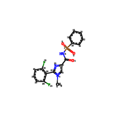 Cn1cc(C(=O)NS(=O)(=O)c2ccccc2)nc1-c1c(F)cccc1F